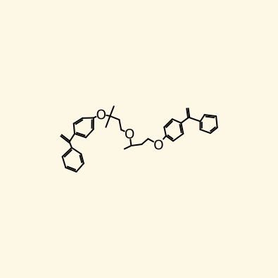 C=C(c1ccccc1)c1ccc(OCCC(C)OCCC(C)(C)Oc2ccc(C(=C)c3ccccc3)cc2)cc1